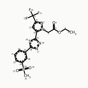 CCOC(=O)Cn1nc(C(F)(F)F)cc1-c1nnc(-c2cccc(S(C)(=O)=O)c2)s1